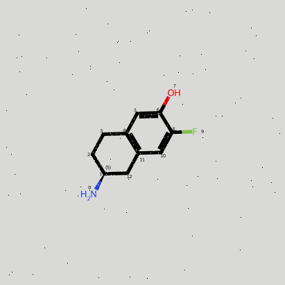 N[C@H]1CCc2cc(O)c(F)cc2C1